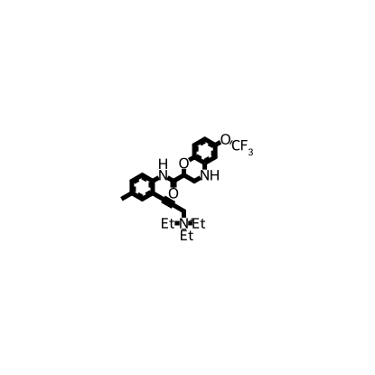 CC[N+](CC)(CC)CC#Cc1cc(C)ccc1NC(=O)C1CNc2cc(OC(F)(F)F)ccc2O1